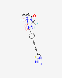 CNC(=O)NC(C)(C(F)F)[C@H](NC(=O)c1ccc(C#CC#Cc2cnc(N)s2)cc1)C(=O)NO